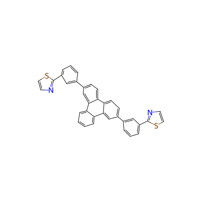 c1cc(-c2ccc3c4ccc(-c5cccc(-c6nccs6)c5)cc4c4ccccc4c3c2)cc(-c2nccs2)c1